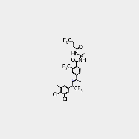 Cc1cc(C(/C=C(\F)c2ccc(C(=O)N[C@H](C)NC(=O)CCC(F)(F)F)c(C(F)(F)F)c2)C(F)(F)F)cc(Cl)c1Cl